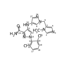 Cn1cncc1Cn1cc(Nc2cn(-c3c(Cl)cccc3Cl)nc2C(N)=O)cn1